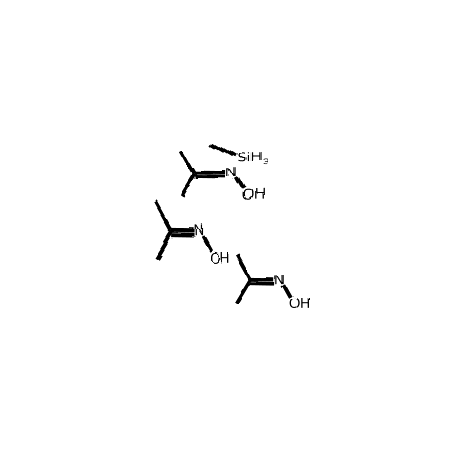 CC(C)=NO.CC(C)=NO.CC(C)=NO.C[SiH3]